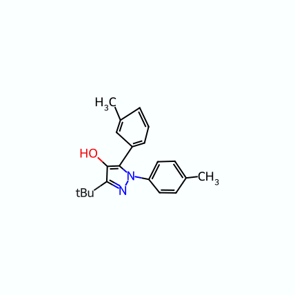 Cc1ccc(-n2nc(C(C)(C)C)c(O)c2-c2cccc(C)c2)cc1